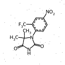 CC1(C)C(=O)NC(=O)N1c1ccc([N+](=O)[O-])cc1C(F)(F)F